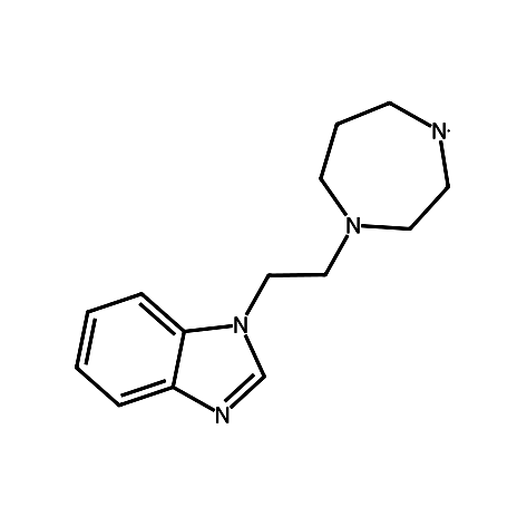 c1ccc2c(c1)ncn2CCN1CCC[N]CC1